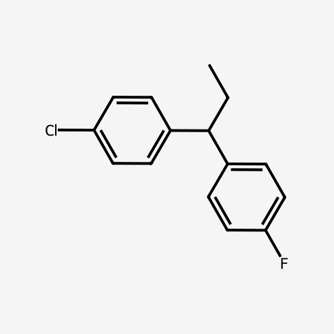 CCC(c1ccc(F)cc1)c1ccc(Cl)cc1